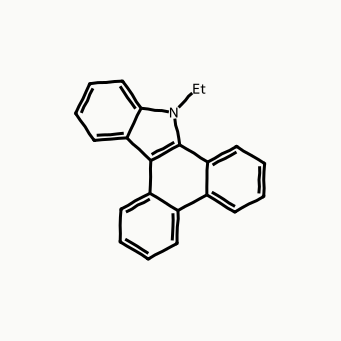 CCn1c2ccccc2c2c3ccccc3c3ccccc3c21